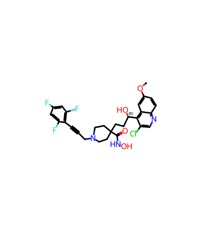 COc1ccc2ncc(Cl)c([C@H](O)CCC3(C(=O)NO)CCN(CC#Cc4c(F)cc(F)cc4F)CC3)c2c1